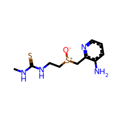 CNC(=S)NCC[S+]([O-])Cc1ncccc1N